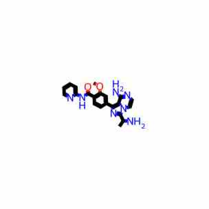 COc1cc(-c2nc(C(C)N)n3ccnc(N)c23)ccc1C(=O)Nc1ccccn1